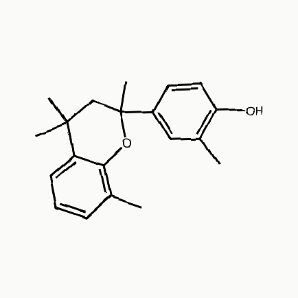 Cc1cc(C2(C)CC(C)(C)c3cccc(C)c3O2)ccc1O